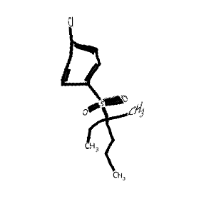 CCCC(C)(CC)S(=O)(=O)c1ccc(Cl)cc1